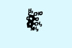 Cc1oc2ccc(N)c(C)c2c(=O)c1C=O